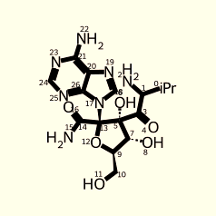 CC(C)C(N)C(=O)[C@@]1(O)[C@H](O)[C@@H](CO)O[C@@]1(C(N)=O)n1cnc2c(N)ncnc21